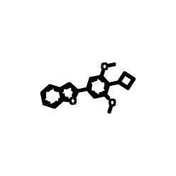 COc1cc(-c2cc3ccccc3o2)cc(OC)c1C1CCC1